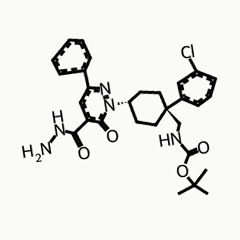 CC(C)(C)OC(=O)NC[C@]1(c2cccc(Cl)c2)CC[C@@H](n2nc(-c3ccccc3)cc(C(=O)NN)c2=O)CC1